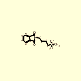 CS(=O)(=O)CCCCN1C(=O)c2ccccc2C1=O